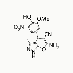 COc1cc(C2C(C#N)=C(N)Oc3[nH]nc(C)c32)cc([N+](=O)[O-])c1O